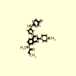 C=CC(=O)N(C)c1ccc2c(N3CC[C@@H](Nc4ncc(Br)cn4)C3)nc(N3CCN(C)CC3)nc2c1